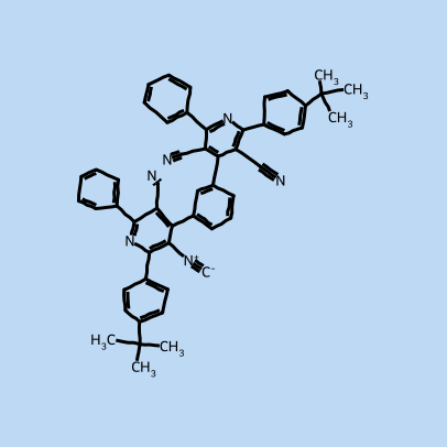 [C-]#[N+]c1c(-c2ccc(C(C)(C)C)cc2)nc(-c2ccccc2)c(C#N)c1-c1cccc(-c2c(C#N)c(-c3ccccc3)nc(-c3ccc(C(C)(C)C)cc3)c2C#N)c1